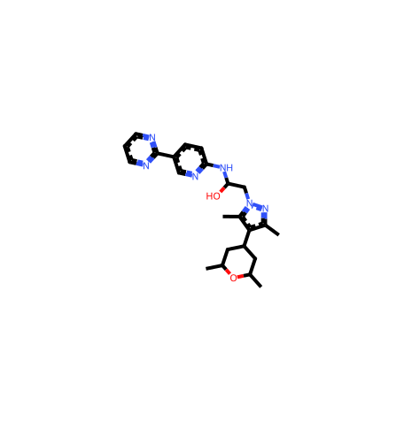 Cc1nn(CC(O)Nc2ccc(-c3ncccn3)cn2)c(C)c1C1CC(C)OC(C)C1